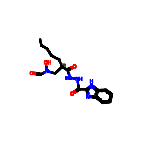 CCCCC[C@H](CN(O)C=O)C(=O)NNC(=O)c1nc2ccccc2[nH]1